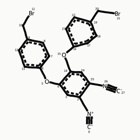 [C-]#[N+]c1cc(Oc2ccc(CBr)cc2)c(Oc2ccc(CBr)cc2)cc1[N+]#[C-]